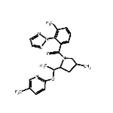 Cc1cccc(C(=O)N2CC(C)CC2C(C)Oc2ccc(C(F)(F)F)cn2)c1-n1nccn1